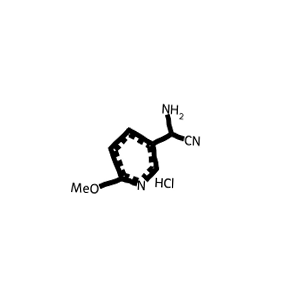 COc1ccc(C(N)C#N)cn1.Cl